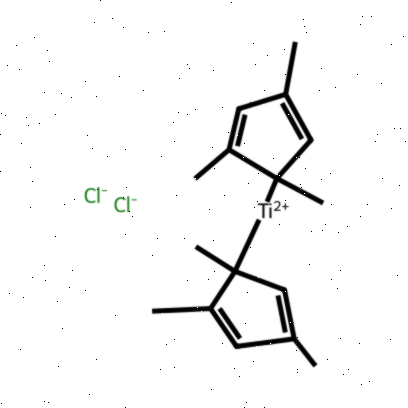 CC1=C[C](C)([Ti+2][C]2(C)C=C(C)C=C2C)C(C)=C1.[Cl-].[Cl-]